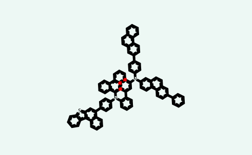 c1ccc(-c2ccc3c(ccc4cc(N(c5ccc(-c6ccc7c(ccc8ccccc87)c6)cc5)c5cccc(-c6ccccc6N(c6ccc(-c7cc8sc9ccccc9c8c8ccccc78)cc6)c6cc7ccccc7c7ccccc67)c5)ccc43)c2)cc1